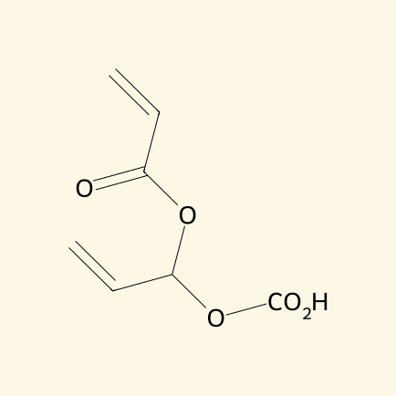 C=CC(=O)OC(C=C)OC(=O)O